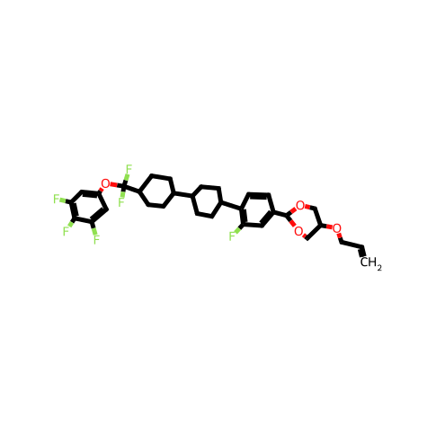 C=CCOC1COC(c2ccc(C3CCC(C4CCC(C(F)(F)Oc5cc(F)c(F)c(F)c5)CC4)CC3)c(F)c2)OC1